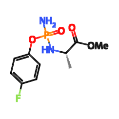 COC(=O)[C@H](C)NP(N)(=O)Oc1ccc(F)cc1